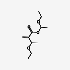 C=C(C(=O)OC(C)OCC)C(C)OCC